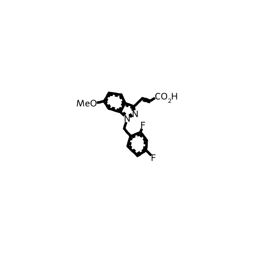 COc1ccc2c(/C=C/C(=O)O)nn(Cc3ccc(F)cc3F)c2c1